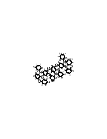 c1ccc(N2c3cc4c(cc3B3c5ccccc5Oc5cccc2c53)B2c3ccccc3N3c5ccccc5B5c6cc7c(cc6Oc6cc(c2c3c65)O4)N(c2ccccc2)c2cccc3c2B7c2ccccc2O3)cc1